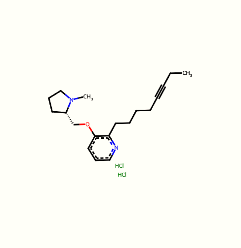 CCC#CCCCCc1ncccc1OC[C@@H]1CCCN1C.Cl.Cl